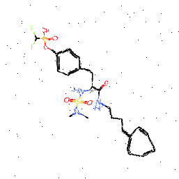 CN(C)S(=O)(=O)N[C@@H](Cc1ccc(OP(=O)(O)C(F)F)cc1)C(=O)NCCCCc1ccccc1